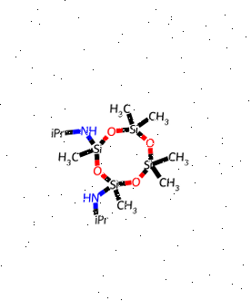 CC(C)N[Si]1(C)O[Si](C)(C)O[Si](C)(C)O[Si](C)(NC(C)C)O1